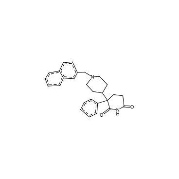 O=C1CCC(c2ccccc2)(C2CCN(Cc3ccc4ccccc4c3)CC2)C(=O)N1